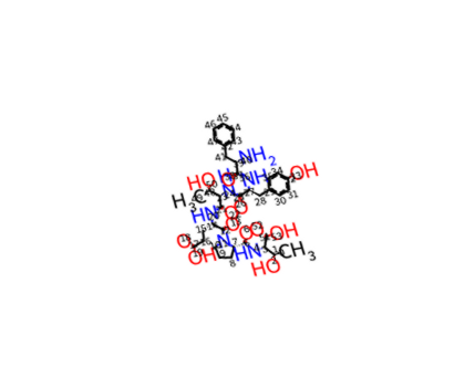 C[C@@H](O)[C@H](NC(=O)[C@@H]1CCCN1C(=O)[C@H](CCC(=O)O)NC(=O)[C@@H](NC(=O)[C@H](Cc1ccc(O)cc1)NC(=O)[C@@H](N)Cc1ccccc1)[C@@H](C)O)C(=O)O